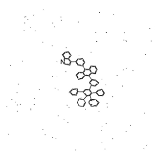 C1=CC(c2c(-c3ccccc3)cc(-c3cccc(-c4c5ccccc5c(-c5cccc(-c6ccnc7ccccc67)c5)c5ccccc45)c3)c(-c3ccccc3)c2-c2ccccc2)=CCC1